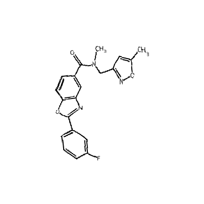 Cc1cc(CN(C)C(=O)c2ccc3oc(-c4cccc(F)c4)nc3c2)no1